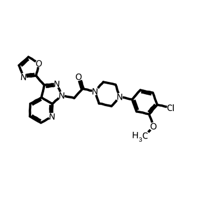 COc1cc(N2CCN(C(=O)Cn3nc(-c4ncco4)c4cccnc43)CC2)ccc1Cl